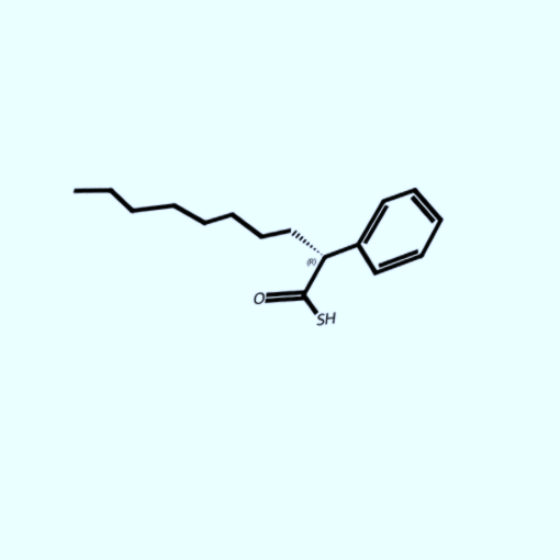 CCCCCCCC[C@@H](C(=O)S)c1ccccc1